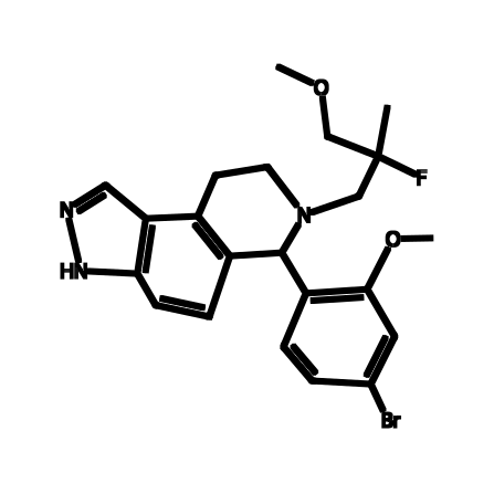 COCC(C)(F)CN1CCc2c(ccc3[nH]ncc23)C1c1ccc(Br)cc1OC